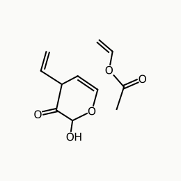 C=CC1C=COC(O)C1=O.C=COC(C)=O